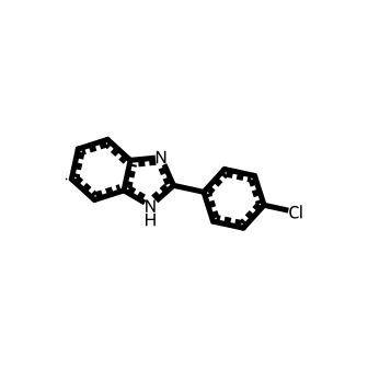 Clc1ccc(-c2nc3cc[c]cc3[nH]2)cc1